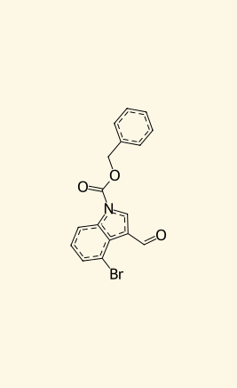 O=Cc1cn(C(=O)OCc2ccccc2)c2cccc(Br)c12